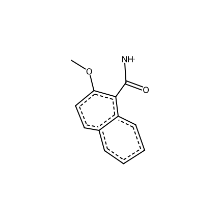 COc1ccc2ccccc2c1C([NH])=O